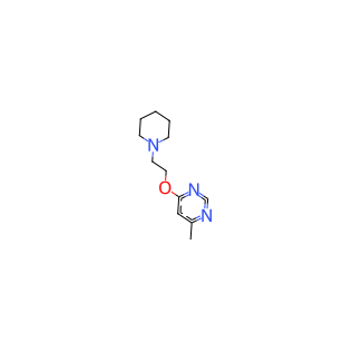 Cc1cc(OCCN2CCCCC2)ncn1